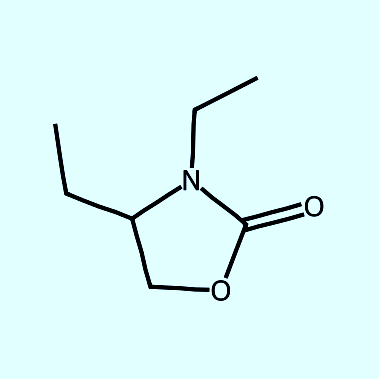 CCC1COC(=O)N1CC